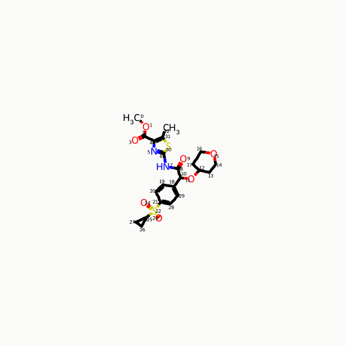 COC(=O)c1nc(NC(=O)C(OC2CCOCC2)c2ccc(S(=O)(=O)C3CC3)cc2)sc1C